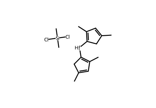 CC1=CC(C)=[C]([Hf][C]2=C(C)C=C(C)C2)C1.C[Si](C)(Cl)Cl